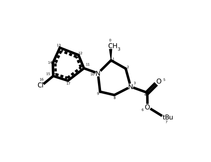 C[C@H]1CN(C(=O)OC(C)(C)C)CCN1c1cccc(Cl)c1